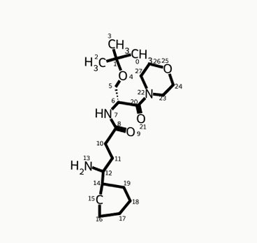 CC(C)(C)OC[C@@H](NC(=O)CCC(N)C1CCCCC1)C(=O)N1CCOCC1